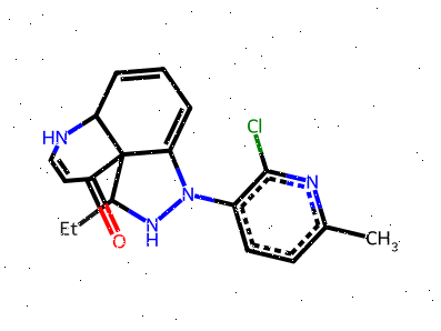 CCC1NN(c2ccc(C)nc2Cl)C2=CC=CC3NC=CC(=O)C231